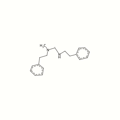 CN([CH]NCCc1ccccc1)CCc1ccccc1